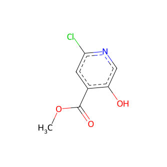 COC(=O)c1cc(Cl)ncc1O